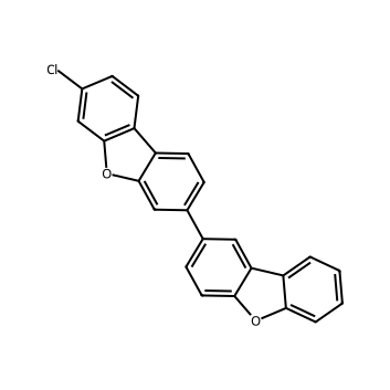 Clc1ccc2c(c1)oc1cc(-c3ccc4oc5ccccc5c4c3)ccc12